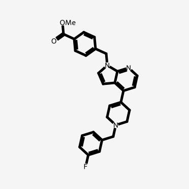 COC(=O)c1ccc(Cn2ccc3c(C4=CCN(Cc5cccc(F)c5)CC4)ccnc32)cc1